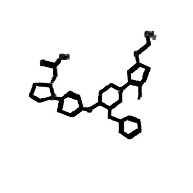 CCOc1ccc(F)c(N2CCC(Oc3ccc(N4CCC[C@@H]4CC(=O)O)cc3)C(Cc3ccccc3)C2)c1